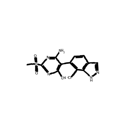 CS(=O)(=O)c1nc(N)c(-c2ccc3cn[nH]c3c2Cl)c(C#N)n1